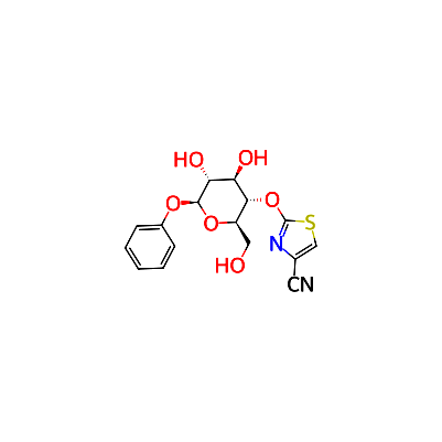 N#Cc1csc(O[C@H]2[C@H](O)[C@@H](O)[C@H](Oc3ccccc3)O[C@@H]2CO)n1